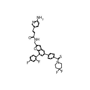 Nc1ccc(/C=C/C(=O)NCc2cc3cc(-c4ccc(C(=S)N5CCC(F)(F)CC5)cc4)cc(-c4ccc(F)cc4F)c3o2)cn1